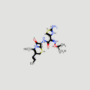 CC/C=C/C1=C(C(=O)O)N2C(=O)[C@@H](NC(=O)/C(=N\O[C@@H](C)C(=O)O)c3csc(N)n3)C2SC1